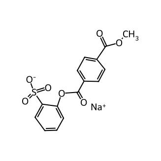 COC(=O)c1ccc(C(=O)Oc2ccccc2S(=O)(=O)[O-])cc1.[Na+]